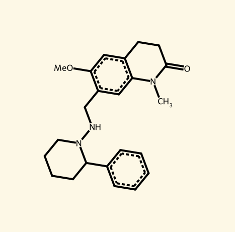 COc1cc2c(cc1CNN1CCCCC1c1ccccc1)N(C)C(=O)CC2